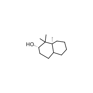 CC1(C)[C@@H](O)CCC2CCCC[C@@]21C